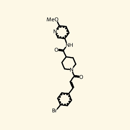 COc1ccc(NC(=O)C2CCN(C(=O)C=Cc3ccc(Br)cc3)CC2)cn1